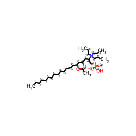 CCCCCCCCCCCCCCCCC(CC(COP(=O)(O)O)[N+](CCC)(CCC)CCC)OC(C)=O